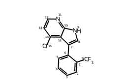 FC(F)(F)c1ccccc1-c1c[nH]c2nccc(Cl)c12